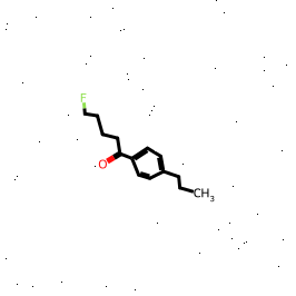 CCCc1ccc(C(=O)CCCCF)cc1